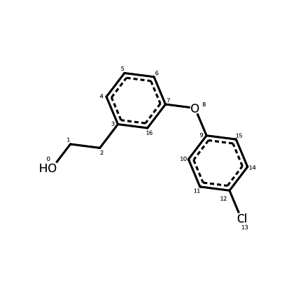 OCCc1cccc(Oc2ccc(Cl)cc2)c1